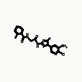 Cc1ccccc1C(=O)NCC(=O)Nc1nc(C)c(-c2cnc(Cl)c(N)c2)s1